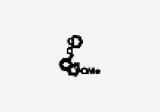 COc1ccc2cccc(COC3CCCCO3)c2n1